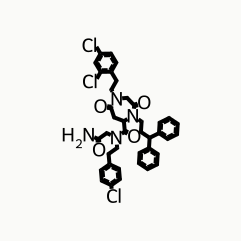 NC(=O)CN(CCc1ccc(Cl)cc1)C(=O)C1CC(=O)N(CCc2ccc(Cl)cc2Cl)CC(=O)N1CCC(c1ccccc1)c1ccccc1